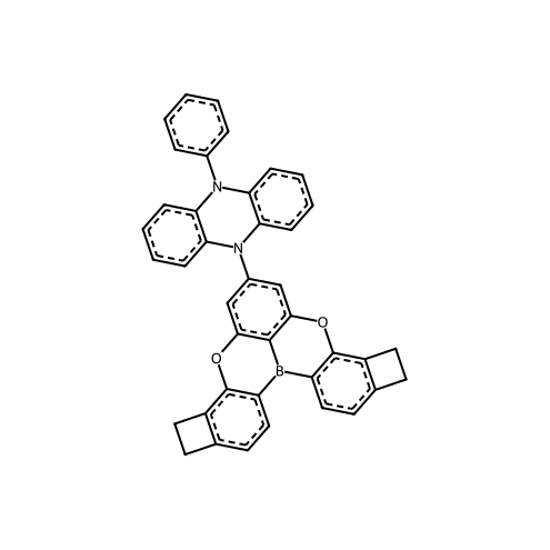 c1ccc(N2c3ccccc3N(c3cc4c5c(c3)Oc3c(ccc6c3CC6)B5c3ccc5c(c3O4)CC5)c3ccccc32)cc1